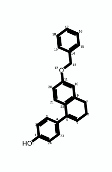 Oc1ccc(C2=CCCc3cc(OCc4ccccc4)ccc32)cc1